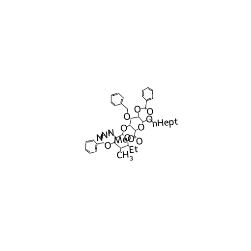 CCCCCCCOC1OC(C(=O)OC)C(OC2OC(CC)C(C)C(OCc3ccccc3)C2N=[N+]=[N-])C(OCc2ccccc2)C1OC(=O)c1ccccc1